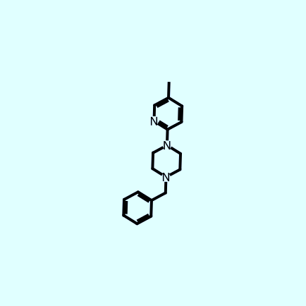 Cc1ccc(N2CCN(Cc3ccccc3)CC2)nc1